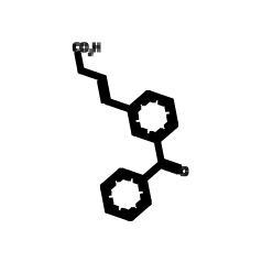 O=C(O)C/C=C/c1cccc(C(=O)c2ccccc2)c1